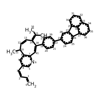 C=C/C=C\c1cnc2c(c1)C(C)/C=C\C(=C(C)C)/C(c1ccc(-c3ccc4c(c3)-c3cccc5cccc-4c35)cc1)=C\2